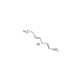 CC=CCC=CCC.[Pt]